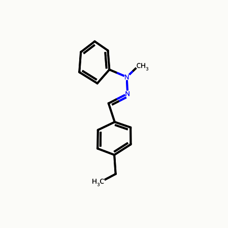 CCc1ccc(C=NN(C)c2ccccc2)cc1